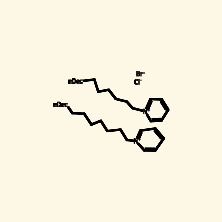 CCCCCCCCCCCCCCCCC[n+]1ccccc1.CCCCCCCCCCCCCCCC[n+]1ccccc1.[Br-].[Cl-]